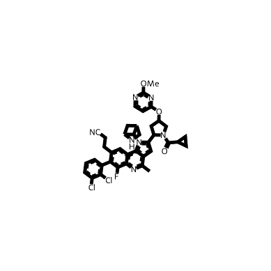 COc1nccc(OC2CC(c3cc4c(C)nc5c(F)c(-c6cccc(Cl)c6Cl)c(CCC#N)cc5c4n3C3C4CNC3C4)N(C(=O)C3CC3)C2)n1